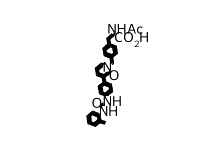 CC(=O)NC(Cc1ccc(Cn2cccc(-c3ccc(NC(=O)Nc4ccccc4C)cc3)c2=O)cc1)C(=O)O